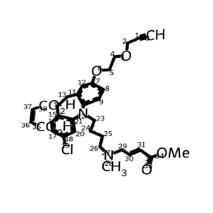 C#CCOCCOc1ccc2c(c1)CCc1ccc(Cl)cc1N2CCCCN(C)C/C=C/C(=O)OC.O=C(O)/C=C\C(=O)O